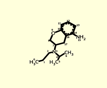 CCCN(C(C)C)C1COc2cccc(N)c2C1